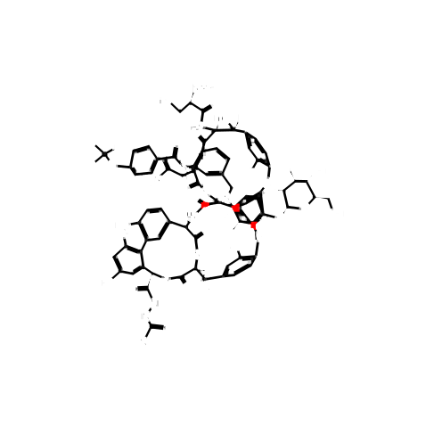 CN[C@H](CC(C)C)C(=O)N[C@H]1C(=O)N[C@@H](CC(N)=O)C(=O)N[C@H]2C(=O)N[C@H]3C(=O)N[C@H](C(=O)N[C@@H](C(=O)NNC(N)=O)c4cc(O)cc(O)c4-c4cc3ccc4O)[C@H](O)c3ccc(c(Cl)c3)Oc3cc2cc(c3O[C@@H]2O[C@H](CO)[C@@H](O)[C@H](O)[C@H]2O[C@H]2C[C@](C)(NCc3cccc(NC(=O)c4ccc(OC(C)(F)F)cc4)c3)[C@H](O)[C@H](C)O2)Oc2ccc(cc2Cl)[C@H]1O